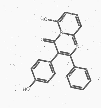 O=c1c(-c2ccc(O)cc2)c(-c2ccccc2)nc2cccc(O)n12